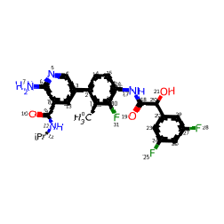 Cc1c(-c2cnc(N)c(C(=O)NC(C)C)c2)ccc(NC(=O)C(O)c2cc(F)cc(F)c2)c1F